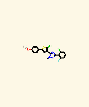 Cn1nc(-c2c(F)cccc2Cl)nc1-c1cc(-c2ccc(OC(F)(F)F)cc2)sc1Cl